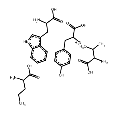 CC(C)C(N)C(=O)O.CCCC(N)C(=O)O.NC(Cc1c[nH]c2ccccc12)C(=O)O.NC(Cc1ccc(O)cc1)C(=O)O